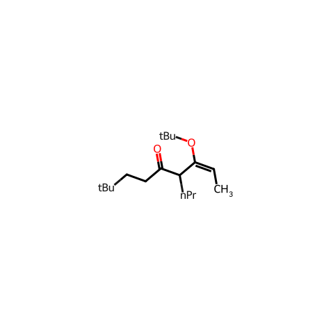 CC=C(OC(C)(C)C)C(CCC)C(=O)CCC(C)(C)C